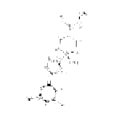 Cc1cc(Br)cc(-c2cnc([C@]3(O)CC[C@H](C(=O)OC(C)(C)C)CC3)s2)c1